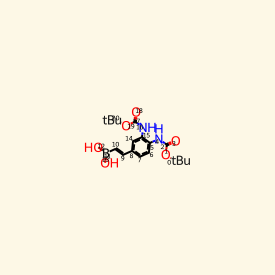 CC(C)(C)OC(=O)Nc1ccc(C=CB(O)O)cc1NC(=O)OC(C)(C)C